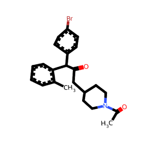 CC(=O)N1CCC(CC(=O)C(c2ccc(Br)cc2)c2ccccc2C)CC1